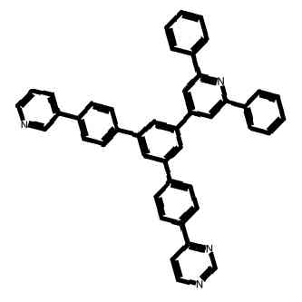 c1ccc(-c2cc(-c3cc(-c4ccc(-c5cccnc5)cc4)cc(-c4ccc(-c5ccncn5)cc4)c3)cc(-c3ccccc3)n2)cc1